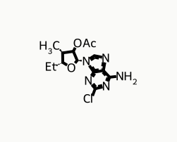 CC[C@H]1O[C@@H](n2cnc3c(N)nc(Cl)nc32)C(OC(C)=O)[C@H]1C